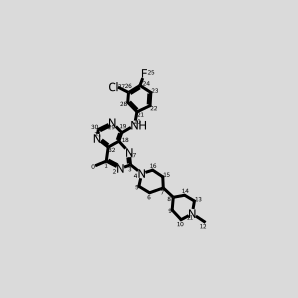 Cc1nc(N2CCC(C3CCN(C)CC3)CC2)nc2c(Nc3ccc(F)c(Cl)c3)ncnc12